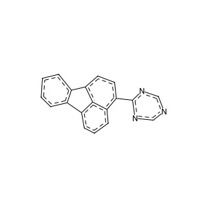 c1ccc2c(c1)-c1cccc3c(-c4ncncn4)ccc-2c13